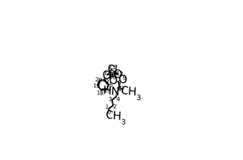 CCCCCN[C@@H](C)C(=O)OP(=O)(Cl)Oc1ccccc1